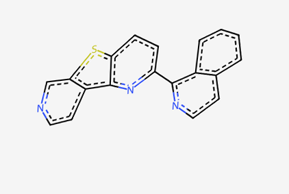 c1ccc2c(-c3ccc4sc5cnccc5c4n3)nccc2c1